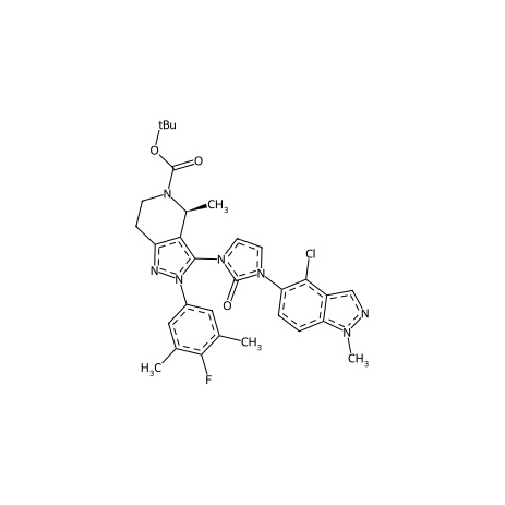 Cc1cc(-n2nc3c(c2-n2ccn(-c4ccc5c(cnn5C)c4Cl)c2=O)[C@H](C)N(C(=O)OC(C)(C)C)CC3)cc(C)c1F